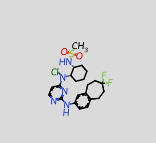 CS(=O)(=O)N[C@@H]1CCCC[C@H]1N(Cl)c1ccnc(Nc2ccc3c(c2)CCC(F)(F)CC3)n1